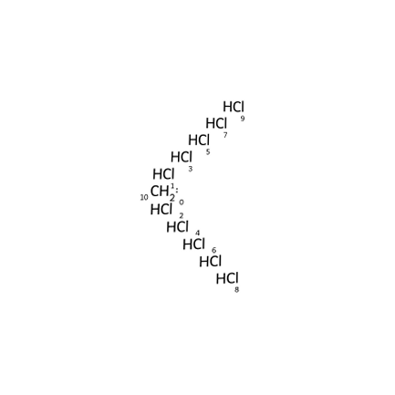 Cl.Cl.Cl.Cl.Cl.Cl.Cl.Cl.Cl.Cl.[CH2]